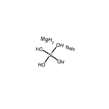 O[Si](O)(O)O.[MgH2].[NaH]